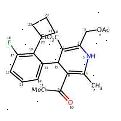 CCOC(=O)C1=C(COC(C)=O)NC(C)=C(C(=O)OC)C1c1cccc(F)c1C1CCC1